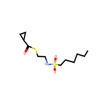 CCCCCCS(=O)(=O)NCCSC(=O)C1CC1